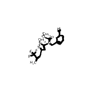 COC(=O)N(Cc1cccc(C#N)c1)c1cc(CC(C)C(F)(F)F)nn1C